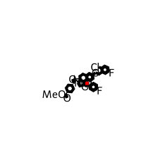 COC(=O)[C@H]1CC[C@H](C(=O)N2CC[C@@]3(S(=O)(=O)c4ccc(F)cc4)c4ccc(OCc5cc(F)ccc5Cl)cc4CC[C@@H]23)CC1